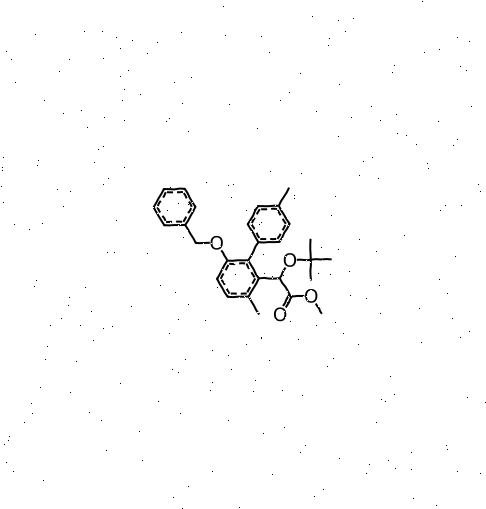 COC(=O)C(OC(C)(C)C)c1c(C)ccc(OCc2ccccc2)c1-c1ccc(C)cc1